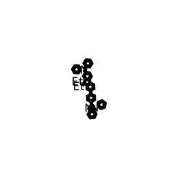 CCC1(CC)c2cc(-c3ccc(-c4nc5ccccc5n4-c4ccccc4)cc3)ccc2-c2ccc(N(c3ccccc3)c3ccccc3)cc21